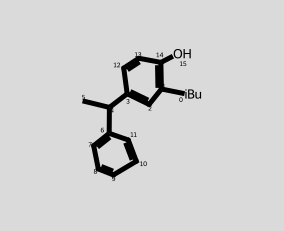 CCC(C)c1cc(C(C)c2ccccc2)ccc1O